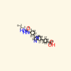 CCCCNC(=O)Nc1cccc(-c2cnc3cc(-c4ccc(C(=O)O)cc4)ccn23)c1